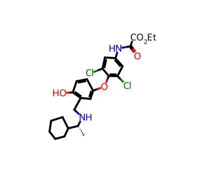 CCOC(=O)C(=O)Nc1cc(Cl)c(Oc2ccc(O)c(CN[C@H](C)C3CCCCC3)c2)c(Cl)c1